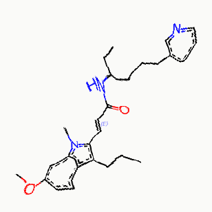 CCCc1c(/C=C/C(=O)NC(CC)CCCc2cccnc2)n(C)c2cc(OC)ccc12